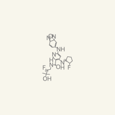 CC(C)(O)[C@H](F)CNC(=O)c1cnc(Nc2ccc3nonc3c2)cc1N[C@@H]1CCCC1F